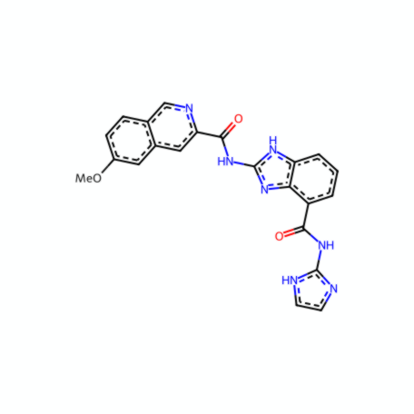 COc1ccc2cnc(C(=O)Nc3nc4c(C(=O)Nc5ncc[nH]5)cccc4[nH]3)cc2c1